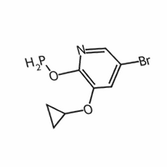 POc1ncc(Br)cc1OC1CC1